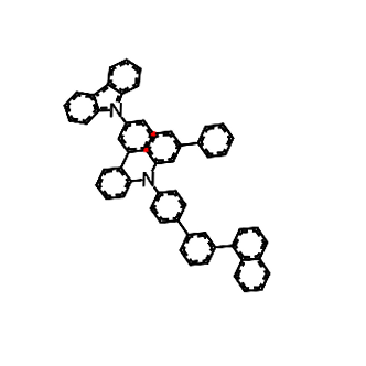 c1ccc(-c2cccc(N(c3ccc(-c4cccc(-c5cccc6ccccc56)c4)cc3)c3ccccc3-c3cccc(-n4c5ccccc5c5ccccc54)c3)c2)cc1